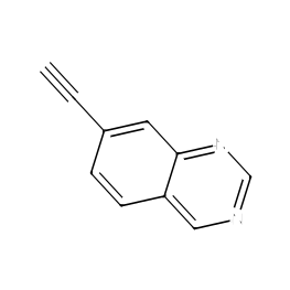 C#Cc1ccc2cncnc2c1